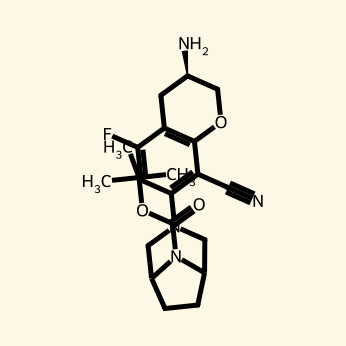 CC(C)(C)OC(=O)N1C2CCC1CN(c1cc(F)c3c(c1C#N)OC[C@H](N)C3)C2